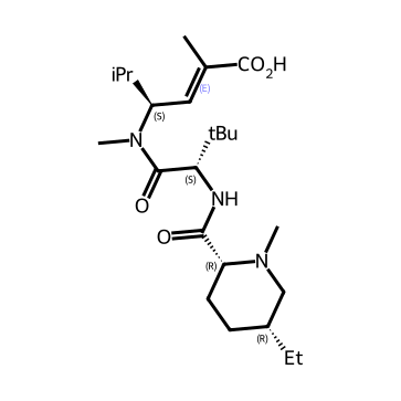 CC[C@@H]1CC[C@H](C(=O)N[C@H](C(=O)N(C)[C@H](/C=C(\C)C(=O)O)C(C)C)C(C)(C)C)N(C)C1